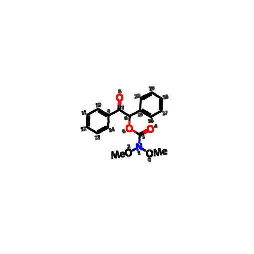 CON(OC)C(=O)OC(C(=O)c1ccccc1)c1ccccc1